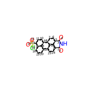 O=C1NC(=O)c2ccc3c4ccc(S(=O)(=O)Cl)c5cccc(c6ccc1c2c63)c54